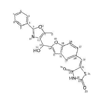 Cc1oc(-c2ccccc2)nc1C(O)c1cc2cc(C=C3SC(=O)NC3=O)ccc2o1